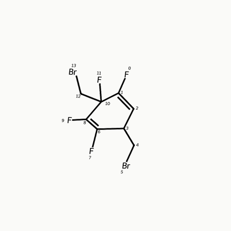 FC1=CC(CBr)C(F)=C(F)C1(F)CBr